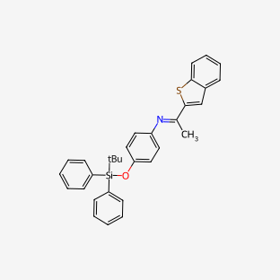 C/C(=N\c1ccc(O[Si](c2ccccc2)(c2ccccc2)C(C)(C)C)cc1)c1cc2ccccc2s1